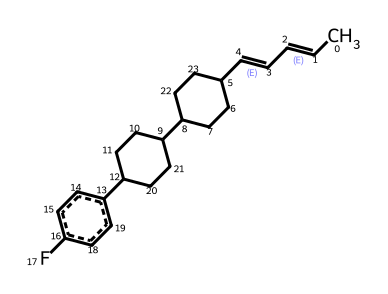 C/C=C/C=C/C1CCC(C2CCC(c3ccc(F)cc3)CC2)CC1